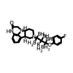 BC(B)(Oc1ccc(F)cc1)C(B)(B)C(B)(B)N1CC[C@H]2[C@@H](C1)c1cccc3c1N2CC(=O)N3